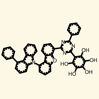 Oc1c(O)c(O)c(-c2nc(-c3ccccc3)nc(-c3cccc4c3oc3cccc(-n5c6ccccc6c6c(-c7ccccc7)cccc65)c34)n2)c(O)c1O